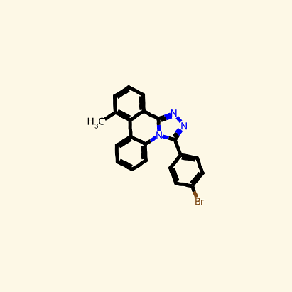 Cc1cccc2c1c1ccccc1n1c(-c3ccc(Br)cc3)nnc21